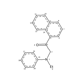 CCN(CC(=O)c1cccc2ccccc12)c1ccccc1